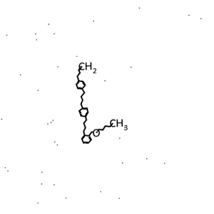 C=CCCc1ccc(CCCCc2ccc(CCCCc3ccccc3COCCCCC)cc2)cc1